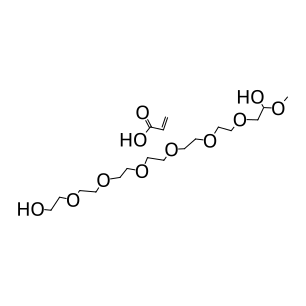 C=CC(=O)O.COC(O)COCCOCCOCCOCCOCCOCCO